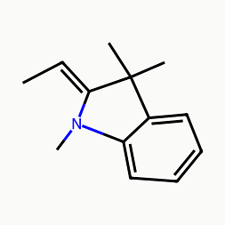 C/C=C1\N(C)c2ccccc2C1(C)C